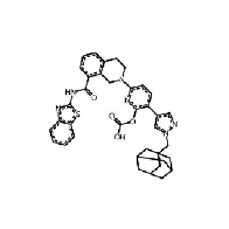 O=C(O)Oc1nc(N2CCc3cccc(C(=O)Nc4nc5ccccc5s4)c3C2)ccc1-c1cnn(CC23CC4CC(CC(C4)C2)C3)c1